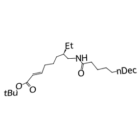 CCCCCCCCCCCCCCC(=O)NC[C@H](CC)CCC/C=C/C(=O)OC(C)(C)C